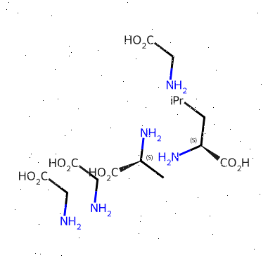 CC(C)C[C@H](N)C(=O)O.C[C@H](N)C(=O)O.NCC(=O)O.NCC(=O)O.NCC(=O)O